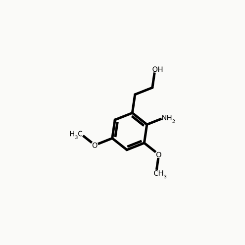 COc1cc(CCO)c(N)c(OC)c1